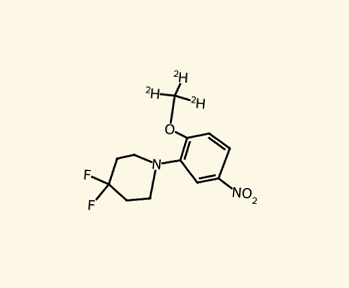 [2H]C([2H])([2H])Oc1ccc([N+](=O)[O-])cc1N1CCC(F)(F)CC1